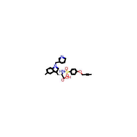 CC#CCOc1ccc(S(=O)(=O)N[C@@H](Cc2cn(Cc3cccnc3)c3ccc(C)cc23)C(=O)O)cc1